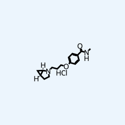 CNC(=O)c1ccc(OCCCN2CC[C@H]3C[C@H]32)cc1.Cl